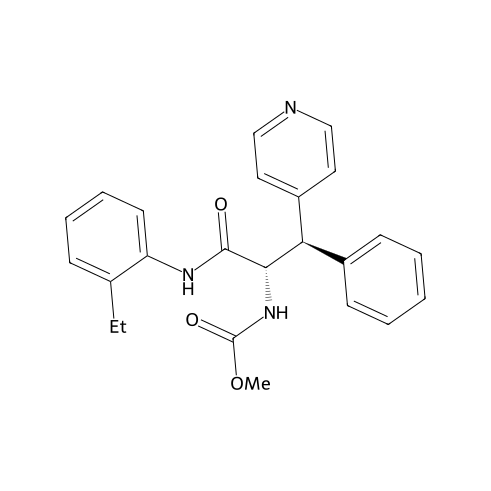 CCc1ccccc1NC(=O)[C@@H](NC(=O)OC)[C@H](c1ccccc1)c1ccncc1